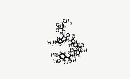 CCCC(O/N=C(\C(=O)N[C@@H]1C(=O)N2C[C@@](C(=O)O)(N3CCN(NC(=O)C(=O)c4ccc(O)c(O)c4Cl)C3=O)S[C@H]12)c1csc(N)n1)C(=O)O